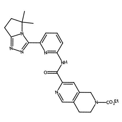 CCOC(=O)N1CCc2cnc(C(=O)Nc3cccc(-c4nnc5n4C(C)(C)CC5)n3)cc2C1